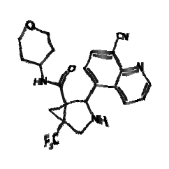 N#Cc1ccc(C2NCC3(C(F)(F)F)CC23C(=O)NC2CCOCC2)c2cccnc12